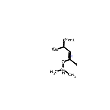 CCCCCC(/C=C(/I)O[SiH](C)C)C(C)(C)C